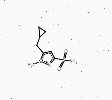 Cn1nc(S(N)(=O)=O)cc1CC1CC1